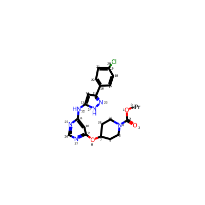 CC(C)OC(=O)N1CCC(Oc2cc(Nc3cc(-c4ccc(Cl)cc4)n[nH]3)ncn2)CC1